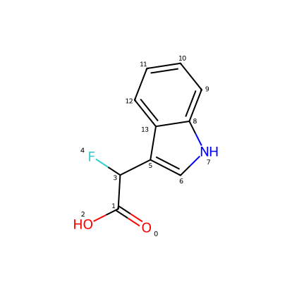 O=C(O)C(F)c1c[nH]c2ccccc12